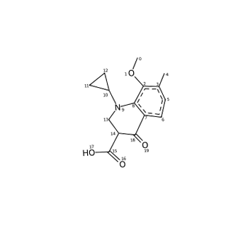 COc1c(C)ccc2c1N(C1CC1)CC(C(=O)O)C2=O